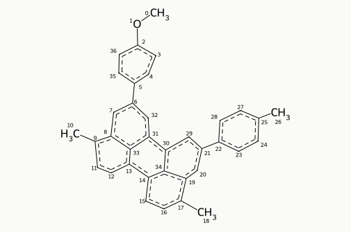 COc1ccc(-c2cc3c(C)ccc4c5ccc(C)c6cc(-c7ccc(C)cc7)cc(c(c2)c34)c65)cc1